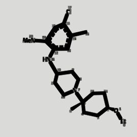 CCO[C@H]1CC[C@](C)(N2CCC(Nc3cc(C)c(Cl)cc3NC)CC2)CC1